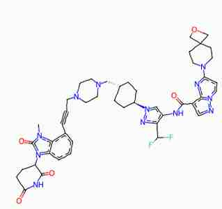 Cn1c(=O)n(C2CCC(=O)NC2=O)c2cccc(C#CCN3CCN(C[C@H]4CC[C@H](n5cc(NC(=O)c6cnn7ccc(N8CCC9(CC8)COC9)nc67)c(C(F)F)n5)CC4)CC3)c21